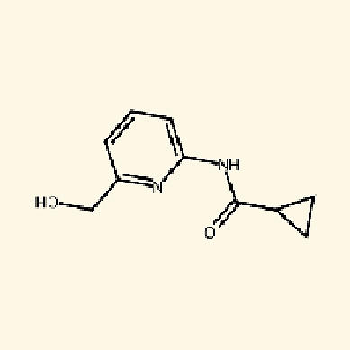 O=C(Nc1cccc(CO)n1)C1CC1